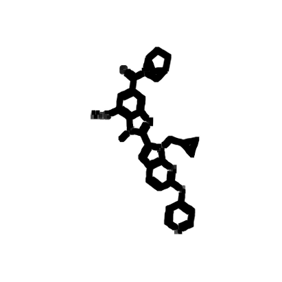 COc1cc(C(=O)N2CC3CCC2C3)cc2nc(-c3cc4ccc(Sc5ccncc5)nc4n3CC3CC3)n(C)c12